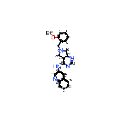 CCOc1ccccc1CN1Cc2ncnc(Nc3cnc4ccccc4c3)c2C1